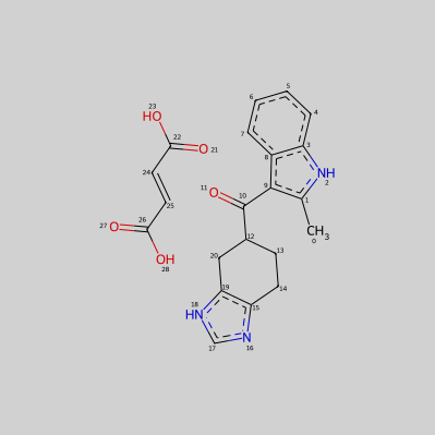 Cc1[nH]c2ccccc2c1C(=O)C1CCc2nc[nH]c2C1.O=C(O)C=CC(=O)O